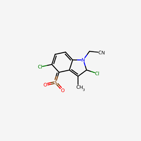 CC1=C2C(=CC=C(Cl)C2=S(=O)=O)N(CC#N)C1Cl